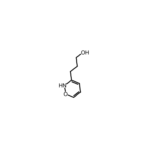 OCCCC1=CC=CON1